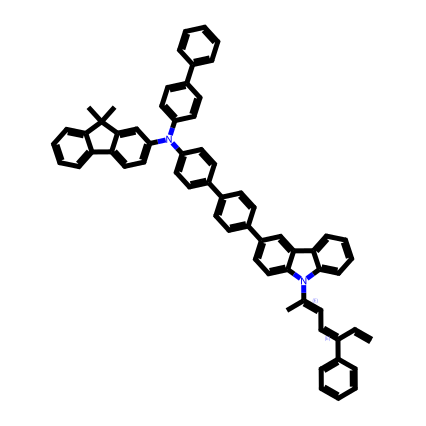 C=C/C(=C\C=C(/C)n1c2ccccc2c2cc(-c3ccc(-c4ccc(N(c5ccc(-c6ccccc6)cc5)c5ccc6c(c5)C(C)(C)c5ccccc5-6)cc4)cc3)ccc21)c1ccccc1